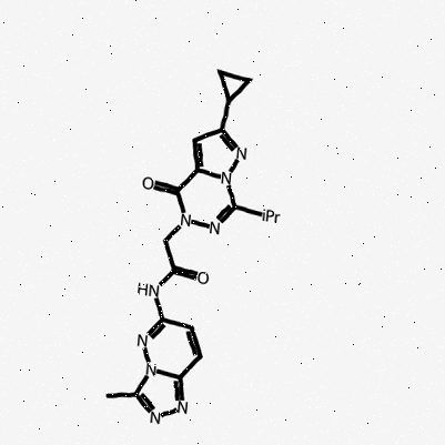 Cc1nnc2ccc(NC(=O)Cn3nc(C(C)C)n4nc(C5CC5)cc4c3=O)nn12